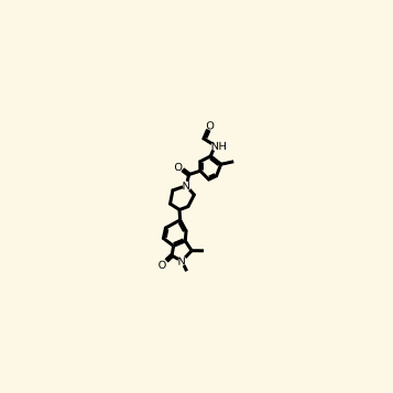 Cc1ccc(C(=O)N2CCC(c3ccc4c(c3)C(C)N(C)C4=O)CC2)cc1NC=O